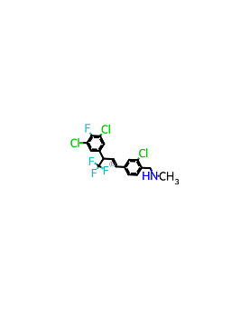 CNCc1ccc(/C=C/C(c2cc(Cl)c(F)c(Cl)c2)C(F)(F)F)cc1Cl